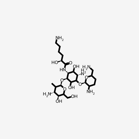 CC1[C@@H](O[C@@H]2C(O)C(O[C@H]3OC(CN)CCC3N)[C@@H](N)C(O)[C@H]2NC(=O)[C@@H](O)CCCCN)OC(CO)[C@@H](O)[C@@H]1N